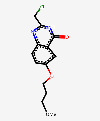 COCCCOc1ccc2nc(CCl)[nH]c(=O)c2c1